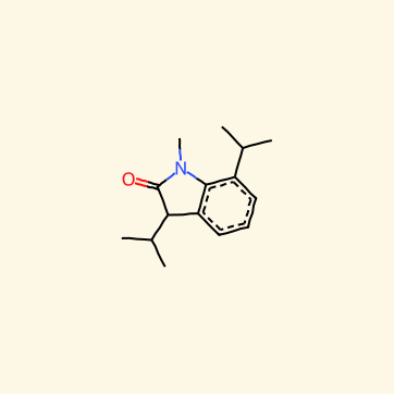 CC(C)c1cccc2c1N(C)C(=O)C2C(C)C